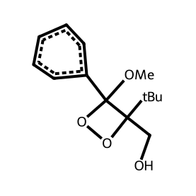 COC1(c2ccccc2)OOC1(CO)C(C)(C)C